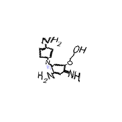 N=C1C=C(N)/C(=N/c2ccc(N)cc2)C=C1OCCO